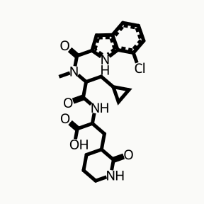 CN(C(=O)c1cc2cccc(Cl)c2[nH]1)C(CC1CC1)C(=O)NC(CC1CCCNC1=O)C(=O)O